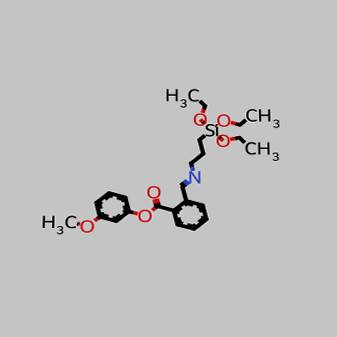 CCO[Si](CCCN=Cc1ccccc1C(=O)Oc1cccc(OC)c1)(OCC)OCC